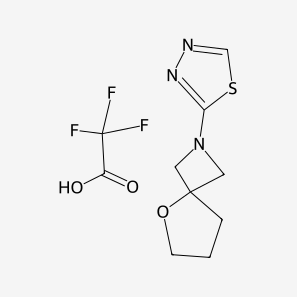 O=C(O)C(F)(F)F.c1nnc(N2CC3(CCCO3)C2)s1